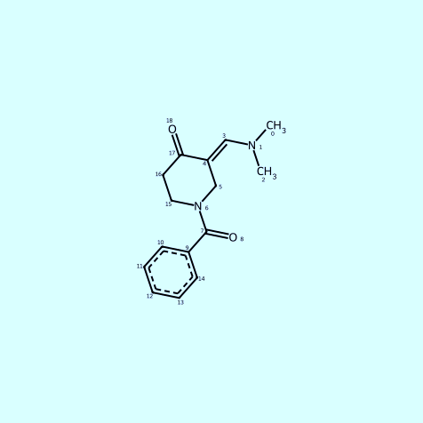 CN(C)C=C1CN(C(=O)c2ccccc2)CCC1=O